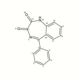 O=c1nc(-c2ccccc2)c2ccccc2[nH]c1=O